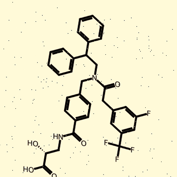 O=C(NC[C@@H](O)C(=O)O)c1ccc(CN(CC(c2ccccc2)c2ccccc2)C(=O)Cc2cc(F)cc(C(F)(F)F)c2)cc1